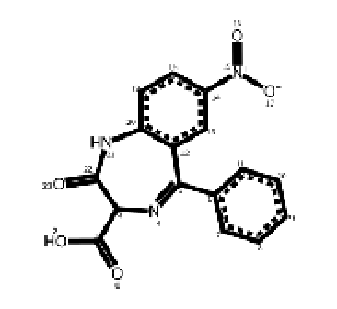 O=C(O)C1N=C(c2ccccc2)c2cc([N+](=O)[O-])ccc2NC1=O